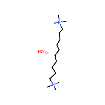 C[N+](C)(C)CCCCCCCCCC[N+](C)(C)C.[OH-].[OH-]